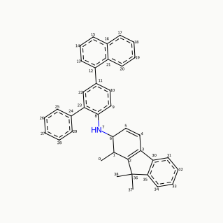 CC1C2=C(C=CC1Nc1ccc(-c3cccc4ccccc34)cc1-c1ccccc1)c1ccccc1C2(C)C